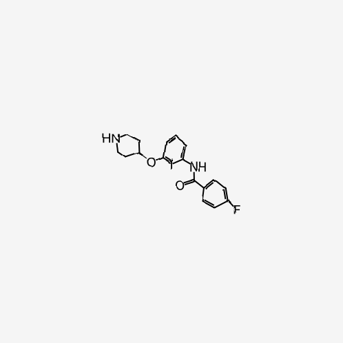 O=C(NC1=CC=CC(OC2CCNCC2)=I1)c1ccc(F)cc1